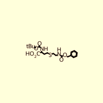 CC(C)(C)OC(=O)NC(CCSCCNC(=O)OCc1ccccc1)C(=O)O